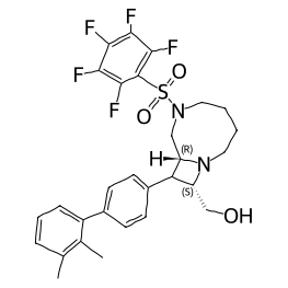 Cc1cccc(-c2ccc(C3[C@@H](CO)N4CCCCN(S(=O)(=O)c5c(F)c(F)c(F)c(F)c5F)C[C@@H]34)cc2)c1C